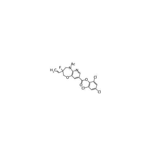 C=CC1(F)COc2cc(C(=O)Oc3c(Cl)cc(Cl)cc3Cl)cnc2N(C(C)=O)C1